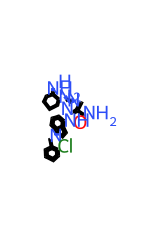 NC(=O)c1cnc(NC2CCCCC2N)nc1Nc1cccc2c1ccn2Cc1ccccc1Cl